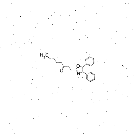 CCCCCC(=O)CCc1nc(-c2ccccc2)c(-c2ccccc2)o1